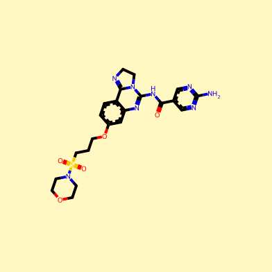 Nc1ncc(C(=O)NC2=Nc3cc(OCCCS(=O)(=O)N4CCOCC4)ccc3C3=NCCN23)cn1